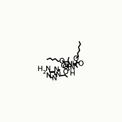 CCCCCCOC(=O)C(C)(C)NP(=O)(COC(C)Cn1cnc2c(N)ncnc21)NC(C)C(=O)OCCCCC